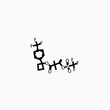 C=C(OS(=O)(=O)C(F)(F)F)C(C)(C)C(=O)OC1(c2ccc(C(F)(F)F)cc2)CCC1